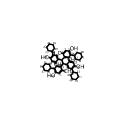 Cc1cc(O)c(C2CCCCC2)cc1C(c1cc(C2CCCCC2)c(O)cc1C)C(c1cc(C2CCCCC2)c(O)cc1C)c1cc(C2CCCCC2)c(O)cc1C